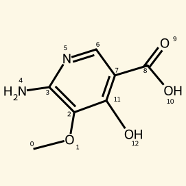 COc1c(N)ncc(C(=O)O)c1O